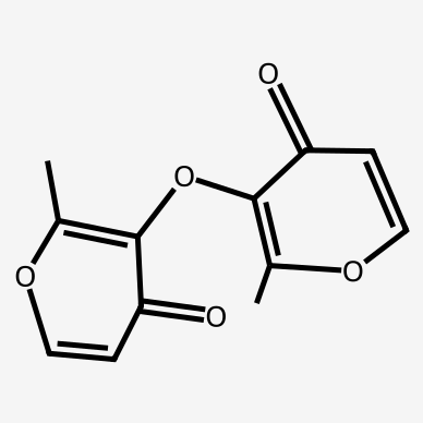 Cc1occc(=O)c1Oc1c(C)occc1=O